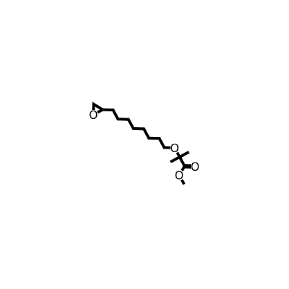 COC(=O)C(C)(C)OCCCCCCCCC1CO1